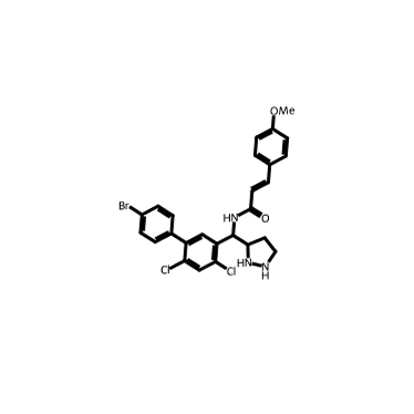 COc1ccc(C=CC(=O)NC(c2cc(-c3ccc(Br)cc3)c(Cl)cc2Cl)C2CCNN2)cc1